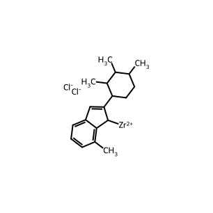 Cc1cccc2c1[CH]([Zr+2])C(C1CCC(C)C(C)C1C)=C2.[Cl-].[Cl-]